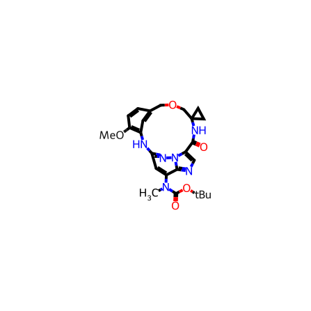 COc1ccc2cc1Nc1cc(N(C)C(=O)OC(C)(C)C)c3ncc(n3n1)C(=O)NC1(CC1)COC2